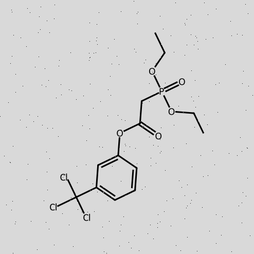 CCOP(=O)(CC(=O)Oc1cccc(C(Cl)(Cl)Cl)c1)OCC